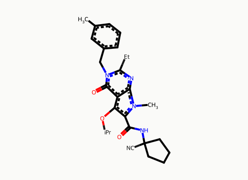 CCc1nc2c(c(OC(C)C)c(C(=O)NC3(C#N)CCCC3)n2C)c(=O)n1Cc1cccc(C)c1